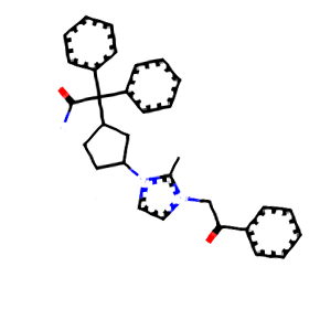 Cc1n(C2CCC(C(C(N)=O)(c3ccccc3)c3ccccc3)C2)cc[n+]1CC(=O)c1ccccc1.[Br-]